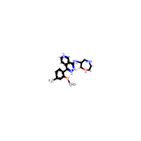 O=COc1cc(C(F)(F)F)ccc1-c1nnc(NC2CNCCOC2)c2cnccc12